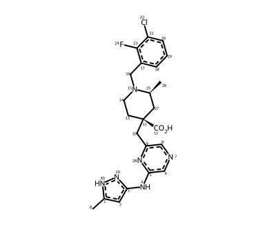 Cc1cc(Nc2cncc(C[C@]3(C(=O)O)CCN(Cc4cccc(Cl)c4F)[C@@H](C)C3)n2)n[nH]1